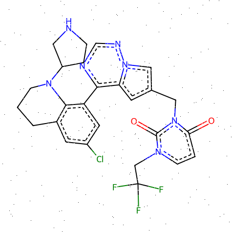 O=c1ccn(CC(F)(F)F)c(=O)n1Cc1cc2c(-c3cc(Cl)cc4c3N(C3CCNC3)CCC4)ncnn2c1